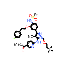 CCS(=O)(=O)Nc1ccc(-c2nn(COCC[Si](C)(C)C)c(Nc3ccc(C(=O)OC)cn3)c2C#N)cc1OCCc1ccc(F)cc1